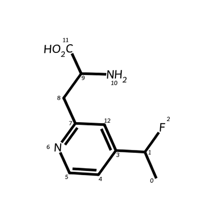 CC(F)c1ccnc(CC(N)C(=O)O)c1